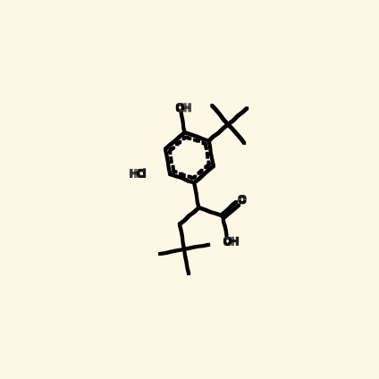 CC(C)(C)CC(C(=O)O)c1ccc(O)c(C(C)(C)C)c1.Cl